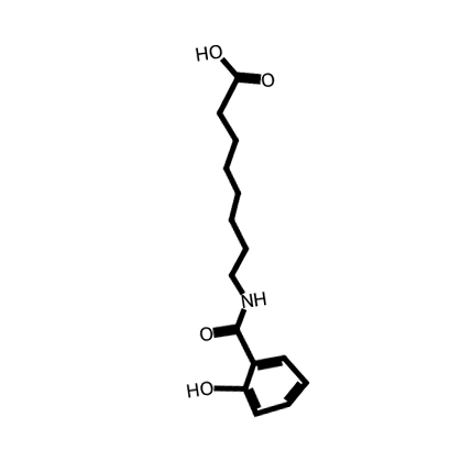 O=C(O)CCCCCCCNC(=O)c1ccccc1O